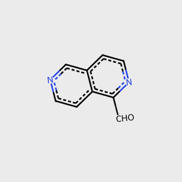 O=Cc1nccc2cnccc12